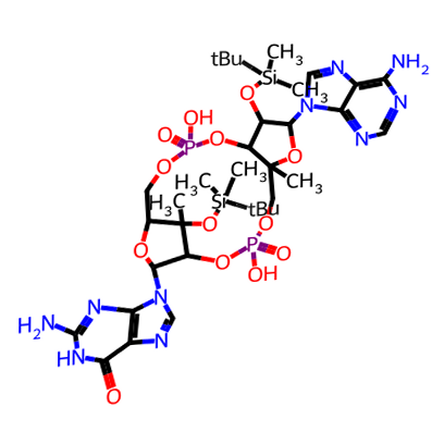 CC12COP(=O)(O)OC3C(n4cnc5c(=O)[nH]c(N)nc54)OC(COP(=O)(O)OC1C(O[Si](C)(C)C(C)(C)C)C(n1cnc4c(N)ncnc41)O2)C3(C)O[Si](C)(C)C(C)(C)C